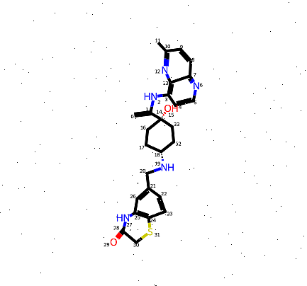 C=C(Nc1ccnc2ccc(C)nc12)[C@]1(O)CC[C@@H](NCc2ccc3c(c2)NC(=O)CS3)CC1